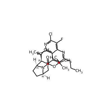 CCSc1nc(N2C[C@H]3CC[C@@H]([C@H]2C(C)C)N3C(=O)OC(C)(C)C)c2c(Br)nc(Cl)c(F)c2n1